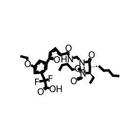 CCCCC[C@@H](C(=O)NCNC(=O)c1ccc(-c2cc(OCC)cc(C(F)(F)C(=O)O)c2)o1)[C@@H](CC)N(C=O)OCCCC